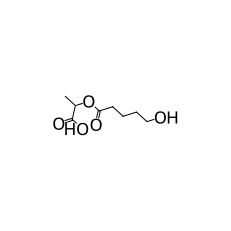 CC(OC(=O)CCCCO)C(=O)O